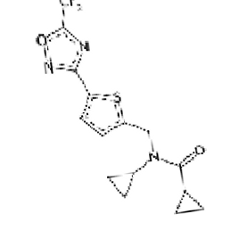 O=C(C1CC1)N(Cc1ccc(-c2noc(C(F)(F)F)n2)s1)C1CC1